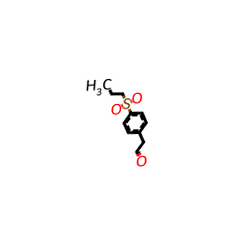 CCCS(=O)(=O)c1ccc(CC=O)cc1